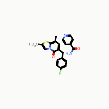 Cc1cc(Cc2ccc(F)cc2)c(=O)n2cc(C(=O)O)sc12.NC(=O)c1ccncc1